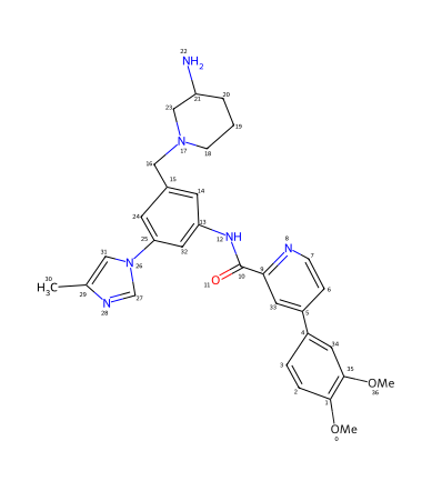 COc1ccc(-c2ccnc(C(=O)Nc3cc(CN4CCCC(N)C4)cc(-n4cnc(C)c4)c3)c2)cc1OC